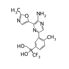 Cc1ncc(-c2nc(-c3cc([C@](O)(CO)C(F)(F)F)ccc3C)cnc2N)o1